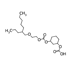 CCCCCC(CCC)COCCOC(=O)OC1CCCC(OC(=O)O)C1